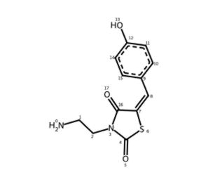 NCCN1C(=O)SC(=Cc2ccc(O)cc2)C1=O